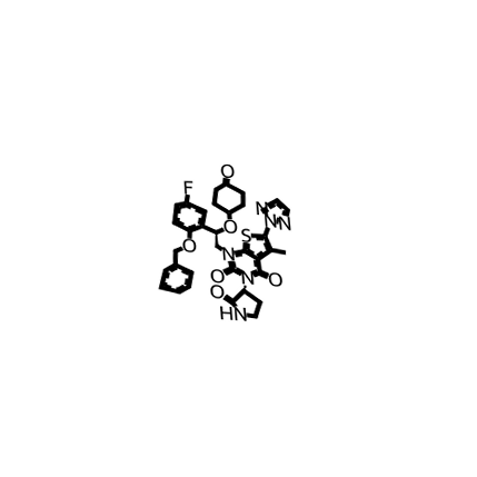 Cc1c(-n2nccn2)sc2c1c(=O)n([C@@H]1CCNC1=O)c(=O)n2C[C@H](OC1CCC(=O)CC1)c1cc(F)ccc1OCc1ccccc1